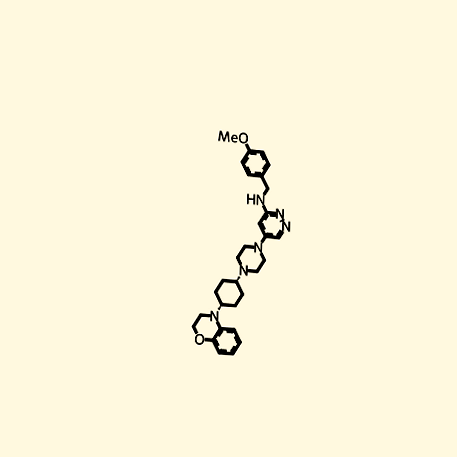 COc1ccc(CNc2cc(N3CCN([C@H]4CC[C@@H](N5CCOc6ccccc65)CC4)CC3)cnn2)cc1